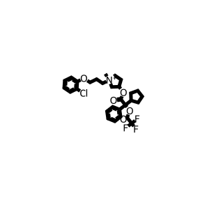 C[N+]1(CCCOc2ccccc2Cl)CCC(OC(=O)C(OC(=O)C(F)(F)F)(c2ccccc2)C2CCCC2)C1